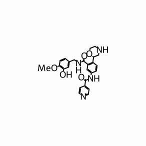 COc1ccc(CNC(=O)c2cc(NC(=O)c3ccncc3)ccc2C2CNCCO2)cc1O